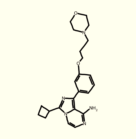 Nc1nccn2c(C3CCC3)nc(-c3cccc(OCCCN4CCOCC4)c3)c12